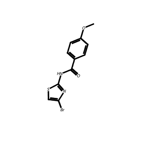 COc1ccc(C(=O)Nc2nc(Br)cs2)cc1